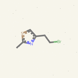 Cc1nc(CCBr)cs1